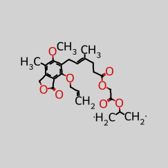 [CH2]C([CH2])OC(=O)COC(=O)CC/C(C)=C/Cc1c(OC)c(C)c2c(c1OCC=C)C(=O)OC2